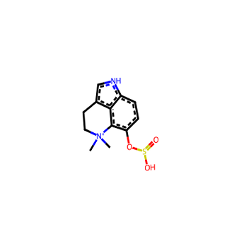 C[N+]1(C)CCc2c[nH]c3ccc(OS(=O)O)c1c23